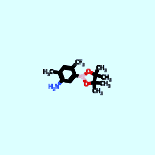 Cc1cc(C(F)(F)F)c(B2OC(C)(C)C(C)(C)O2)cc1N